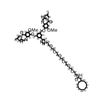 COc1cc2c(cc1OCc1cc(COc3cc4c(cc3OC)C(=O)N3C=C(C)C[C@H]3C=N4)cc(-c3cn(CCOCCOCCOCCOCCOCCOCCNC(=O)CC4CCCCCCCCCC4)nn3)c1)N=C[C@@H]1CC(C)=CN1C2=O